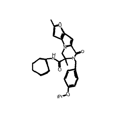 Cc1cc2c(cc3n2CC(C)(C(=O)NC2CCCCC2)N(Cc2ccc(OC(C)C)cc2)C3=O)o1